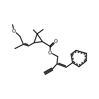 C#CC(=Cc1ccccc1)COC(=O)C1C(C=C(C)COC)C1(C)C